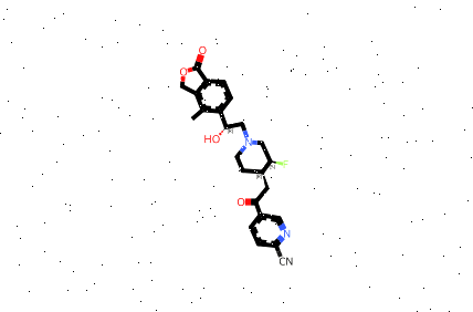 Cc1c([C@@H](O)CN2CC[C@H](CC(=O)c3ccc(C#N)nc3)[C@H](F)C2)ccc2c1COC2=O